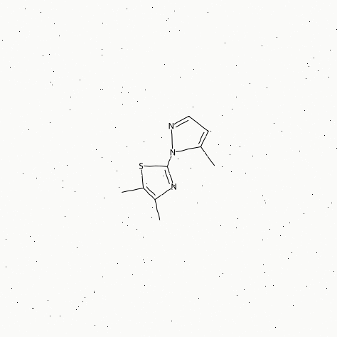 Cc1nc(-n2nc[c]c2C)sc1C